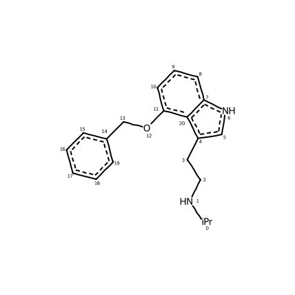 CC(C)NCCc1c[nH]c2cccc(OCc3ccccc3)c12